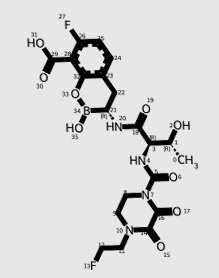 C[C@@H](O)[C@@H](NC(=O)N1CCN(CCF)C(=O)C1=O)C(=O)N[C@H]1Cc2ccc(F)c(C(=O)O)c2OB1O